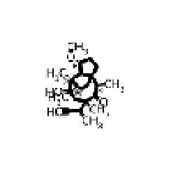 C#CC(C)[C@]1(C)C[C@@H](O)[C@@]2(C)C3[C@H](OC)CCC3(CC[C@H]2C)[C@@H](C)C1=O